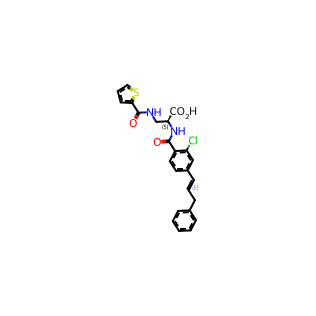 O=C(NC[C@H](NC(=O)c1ccc(/C=C/Cc2ccccc2)cc1Cl)C(=O)O)c1cccs1